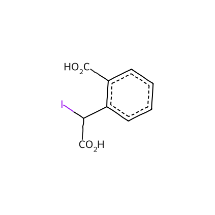 O=C(O)c1ccccc1C(I)C(=O)O